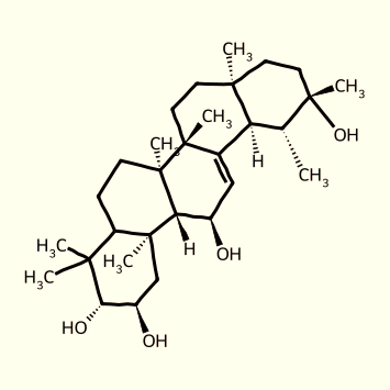 C[C@@H]1[C@H]2C3=C[C@@H](O)[C@@H]4[C@@]5(C)C[C@@H](O)[C@H](O)C(C)(C)C5CC[C@@]4(C)[C@]3(C)CC[C@@]2(C)CC[C@]1(C)O